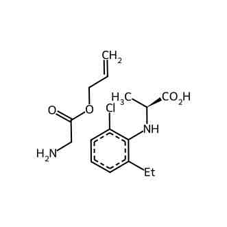 C=CCOC(=O)CN.CCc1cccc(Cl)c1N[C@@H](C)C(=O)O